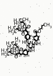 CCCCOC(=O)c1ccc(Nc2nc(Nc3ccc(C=C(C(=O)OCC(C)(C)C)C(=O)OCC(C)(C)C)cc3)nc(Nc3ccc(C=C(C(=O)OCC(C)(C)C)C(=O)OCC(C)(C)C)cc3)n2)cc1